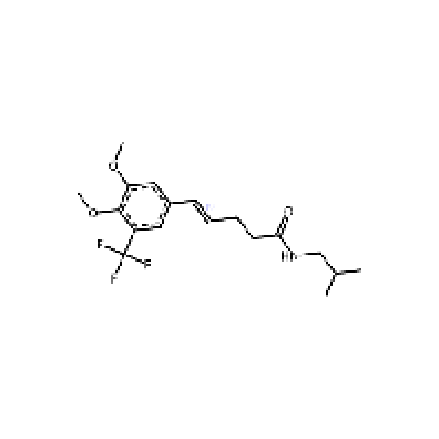 COc1cc(/C=C/CCC(=O)NCC(C)C)cc(C(F)(F)F)c1OC